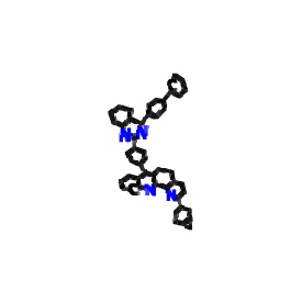 c1ccc(-c2ccc(-c3nc(-c4ccc(-c5c6ccccc6nc6c5ccc5ccc(-c7ccc8c(c7)C8)nc56)cc4)nc4ccccc34)cc2)cc1